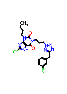 CCCCn1c(=O)n(CCCn2nnc(Cc3cccc(Cl)c3)n2)c(=O)c2[nH]c(Cl)nc21